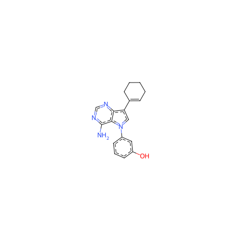 Nc1ncnc2c(C3=CCCCC3)cn(-c3cccc(O)c3)c12